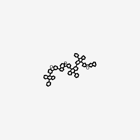 c1ccc(-c2c3ccccc3c(-c3ccc4oc5ccc(-c6cccc7c6ccc6oc8ccc(-c9c%10ccccc%10c(-c%10ccccc%10)c%10ccc(-c%11ccc%12c(-c%13ccccc%13)c%13ccccc%13c(-c%13ccc%14oc%15cc%16ccccc%16cc%15c%14c%13)c%12c%11)cc9%10)cc8c67)cc5c4c3)c3ccccc23)cc1